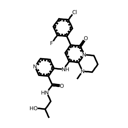 CC(O)CNC(=O)c1cnccc1Nc1cc(-c2cc(Cl)ccc2F)c(=O)n2c1N(C)CCC2